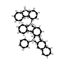 c1ccc(-n2c3cc4ccccc4cc3c3ccc4c(c5ccccc5n4-c4cccc5sc6ccccc6c45)c32)cc1